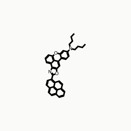 CCCCN(CCCC)c1ccc2c(c1)Oc1cccc3c1c-2cc1oc(-c2ccc4ccc5cccc6ccc2c4c56)nc13